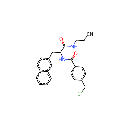 N#CCCNC(=O)C(Cc1ccc2ccccc2c1)NC(=O)c1ccc(CCl)cc1